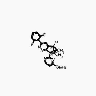 COc1ccnc([C@@]23CC[C@@H](c4cc(-c5c(F)cccc5F)nnc42)C3(C)C)n1